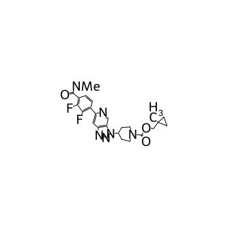 CNC(=O)c1ccc(-c2cc3nnn(C4CCN(C(=O)OCC5(C)CC5)CC4)c3cn2)c(F)c1F